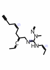 C#CC/C=C\CC(=C=CC)C/N=C(/N/C=C\C)N(C)N=C